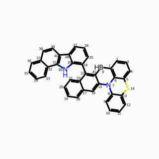 B1c2cccc3c2N(c2ccccc2S3)c2cc3ccccc3c(-c3cccc4c3[nH]c3c5ccccc5ccc43)c21